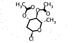 CC(=O)O[C@H]1[C@H](C)O[C@@H](Cl)C[C@@H]1OC(C)=O